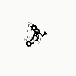 CCC1(O)C2C3[C@H](OC34C3Cc5ccc(OC)c(O)c5C24CCN3CC2CC2)C(=O)N1Cc1ccccc1